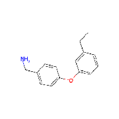 CCc1cccc(Oc2ccc(CN)cc2)c1